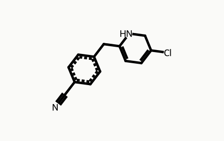 N#Cc1ccc(CC2=CC=C(Cl)CN2)cc1